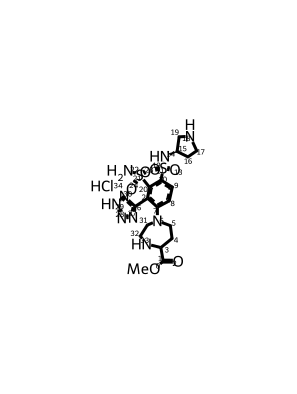 COC(=O)C1CCN(c2ccc(S(=O)(=O)N[C@@H]3CCNC3)c(S(N)(=O)=O)c2-c2nn[nH]n2)CCN1.Cl